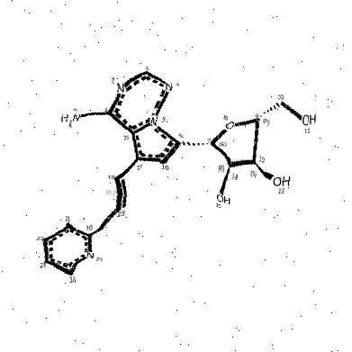 Nc1ncnn2c([C@@H]3O[C@H](CO)[C@@H](O)[C@H]3O)cc(/C=C/c3ccccn3)c12